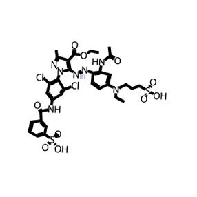 CCOC(=O)c1c(C)nn(-c2c(Cl)cc(NC(=O)c3cccc(S(=O)(=O)O)c3)cc2Cl)c1/N=N/c1ccc(N(CC)CCCS(=O)(=O)O)cc1NC(C)=O